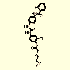 CN(C)CCSCC(=O)Nc1ccc(NC(=S)Nc2ccc(NC(=O)c3ccccc3F)cc2)cc1Cl